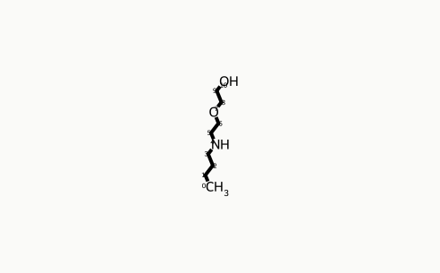 CCCCNCCOCCO